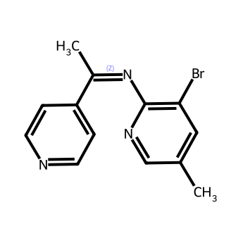 C/C(=N/c1ncc(C)cc1Br)c1ccncc1